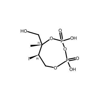 C[C@@]1(CO)OP(=O)(O)OP(=O)(O)OC[C@H]1I